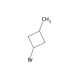 CC1CC(Br)C1